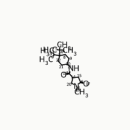 CC(C)C1(C(C)(C)C)CCC(NC(=O)C2CC(=O)N(C)C2)CC1